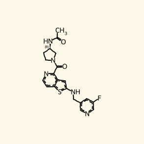 CC(=O)N[C@@H]1CCN(C(=O)c2nccc3sc(NCc4cncc(F)c4)cc23)C1